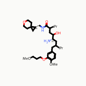 COCCCOc1cc(CC(C[C@H](N)C(O)CC(C(=O)NC[C@@H]2CC23CCOCC3)C(C)C)C(C)C)ccc1OC